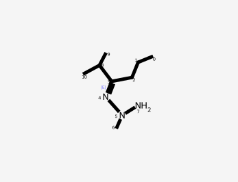 CCC/C(=N\N(C)N)C(C)C